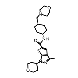 Cc1nn(C2CCOCC2)c2sc(C(=O)N[C@H]3CC[C@H](CN4CCOCC4)CC3)cc12